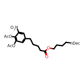 CCCCCCCCCCCCCCOC(=O)CCCCc1cc(OC(C)=O)c(OC(C)=O)c([N+](=O)[O-])c1